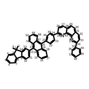 CC1(C)c2ccccc2-c2ccc(-c3c4ccccc4c(-c4ccc(-c5ccc6ccc7ccc(-c8ccccc8)nc7c6n5)cc4)c4ccccc34)cc21